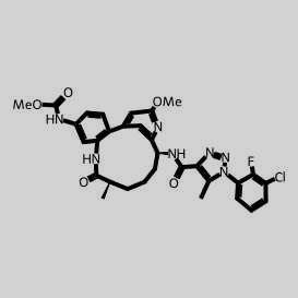 COC(=O)Nc1ccc2c(c1)NC(=O)[C@H](C)CCC[C@H](NC(=O)c1nnn(-c3cccc(Cl)c3F)c1C)c1cc-2cc(OC)n1